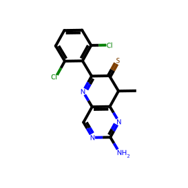 CC1C(=S)C(c2c(Cl)cccc2Cl)=Nc2cnc(N)nc21